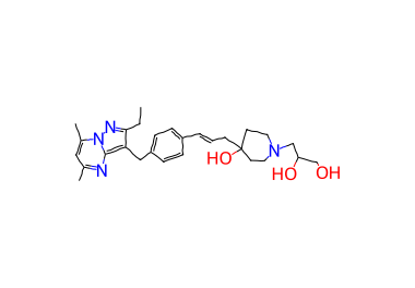 CCc1nn2c(C)cc(C)nc2c1Cc1ccc(C=CCC2(O)CCN(CC(O)CO)CC2)cc1